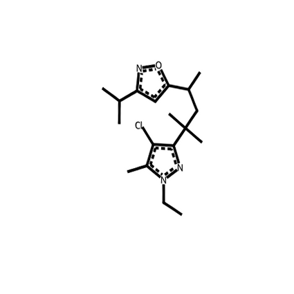 CCn1nc(C(C)(C)CC(C)c2cc(C(C)C)no2)c(Cl)c1C